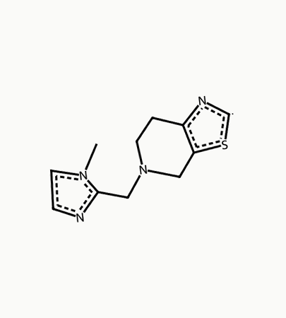 Cn1ccnc1CN1CCc2n[c]sc2C1